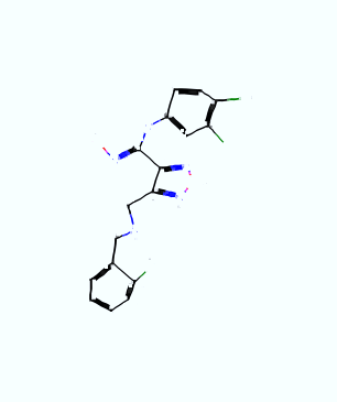 O/N=C(\Nc1ccc(F)c(Cl)c1)c1nonc1CNCc1ccccc1Cl